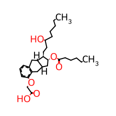 CCCCCC(=O)O[C@@H]1C[C@@H]2Cc3c(cccc3OCC(=O)O)C[C@@H]2[C@H]1CC[C@@H](O)CCCCC